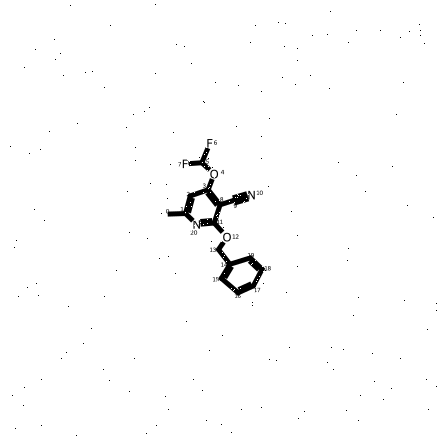 Cc1cc(OC(F)F)c(C#N)c(OCc2ccccc2)n1